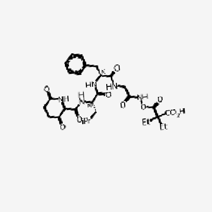 CCC(CC)(C(=O)O)C(=O)ONC(=O)CNC(=O)[C@H](Cc1ccccc1)NC(=O)[C@H](CC(C)C)NC(=O)C1NC(=O)CCC1=O